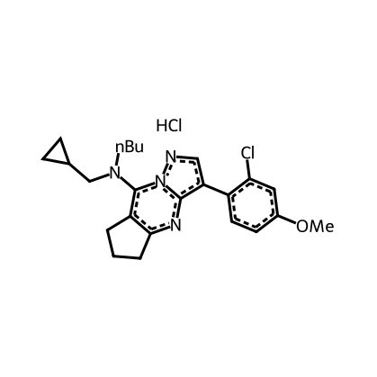 CCCCN(CC1CC1)c1c2c(nc3c(-c4ccc(OC)cc4Cl)cnn13)CCC2.Cl